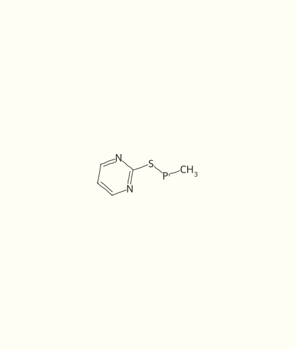 C[P]Sc1ncccn1